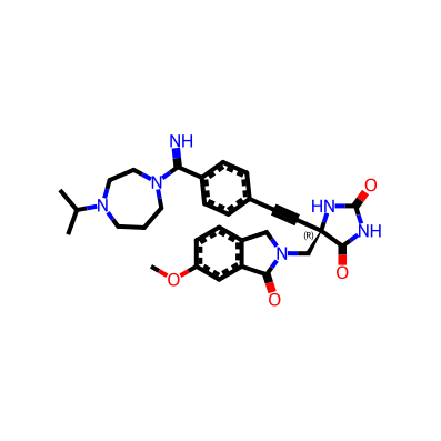 COc1ccc2c(c1)C(=O)N(C[C@@]1(C#Cc3ccc(C(=N)N4CCCN(C(C)C)CC4)cc3)NC(=O)NC1=O)C2